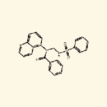 O=C(c1ccccc1)N(CNS(=O)(=O)c1ccccc1)c1cccc2ncccc12